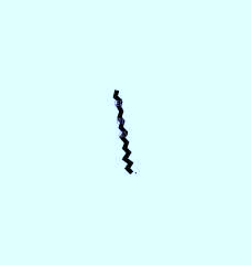 [CH2]CCCCCC/C=C/C/C=C/C/C=C/CC